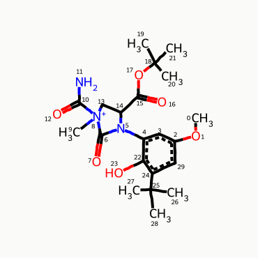 COc1cc(N2C(=O)[N+](C)(C(N)=O)CC2C(=O)OC(C)(C)C)c(O)c(C(C)(C)C)c1